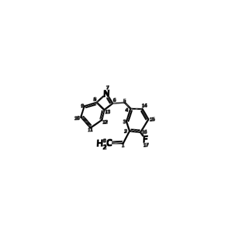 C=Cc1cc(CC2=Nc3ccccc32)ccc1F